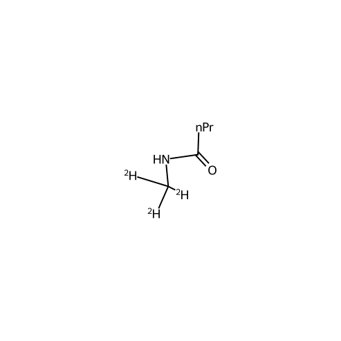 [2H]C([2H])([2H])NC(=O)CCC